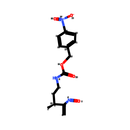 C=C(N=O)[C@@H](C)CCNC(=O)OCc1ccc([N+](=O)[O-])cc1